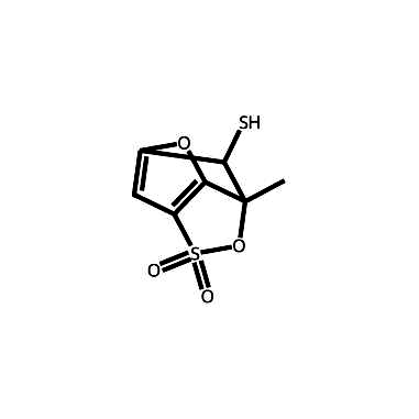 CC12OS(=O)(=O)c3cc(oc31)C2S